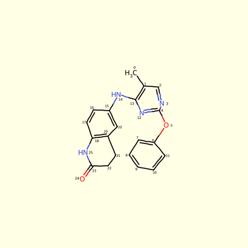 Cc1cnc(Oc2ccccc2)nc1Nc1ccc2c(c1)CCC(=O)N2